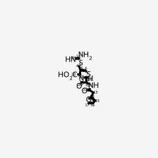 N=C(N)SCC1=CS[C@@H]2C(NC(=O)Cc3ccco3)C(=O)N2C1C(=O)O